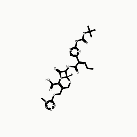 CC/C=C(\C(=O)NC1C(=O)N2C(C(=O)O)=C(CSc3nnnn3C)CS[C@@H]12)c1csc(NC(=O)OC(C)(C)C)n1